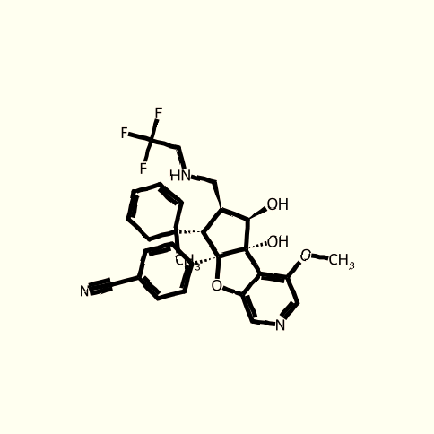 COc1cncc2c1[C@]1(O)[C@H](O)[C@H](CNCC(F)(F)F)[C@@H](C3(C)C=CC=CC3)[C@]1(c1ccc(C#N)cc1)O2